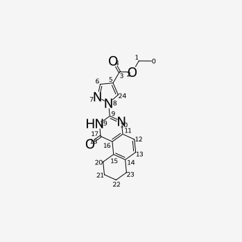 CCOC(=O)c1cnn(-c2nc3ccc4c(c3c(=O)[nH]2)CCCC4)c1